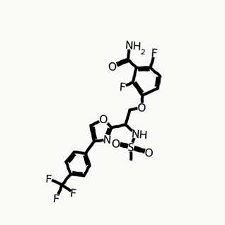 CS(=O)(=O)NC(COc1ccc(F)c(C(N)=O)c1F)c1nc(-c2ccc(C(F)(F)F)cc2)co1